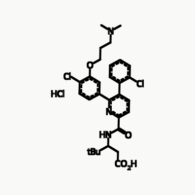 CN(C)CCCOc1cc(-c2nc(C(=O)NC(CC(=O)O)C(C)(C)C)ccc2-c2ccccc2Cl)ccc1Cl.Cl